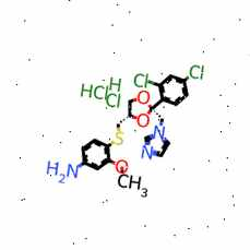 COc1cc(N)ccc1SC[C@@H]1CO[C@@](Cn2ccnc2)(c2ccc(Cl)cc2Cl)O1.Cl.Cl